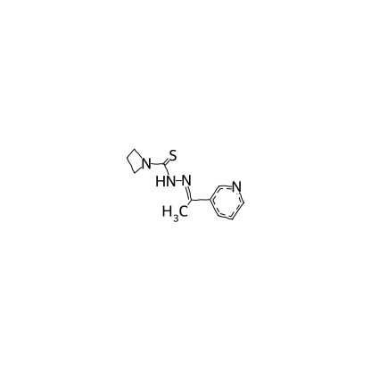 C/C(=N\NC(=S)N1CCC1)c1cccnc1